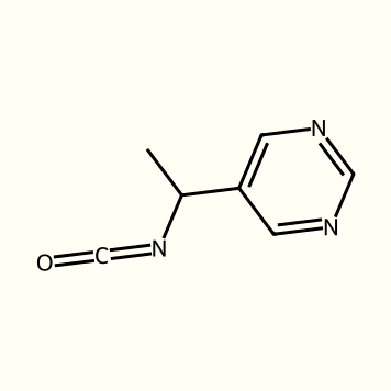 CC(N=C=O)c1cncnc1